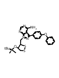 CC(C)(C)[Si](C)(C)OC1CSSC1Cn1nc(-c2ccc(Oc3ccccc3)cc2)c2c(N)ncnc21